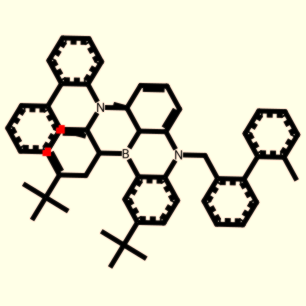 Cc1ccccc1-c1ccccc1CN1C2=CC=CC3(C)C2B(c2cc(C(C)(C)C)ccc21)C1CC(C(C)(C)C)=CC=C1N3c1ccccc1-c1ccccc1C